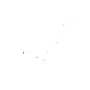 [La+3].[Nd+3].[O-2].[O-2].[O-2].[O-2].[O-2].[Zr+4]